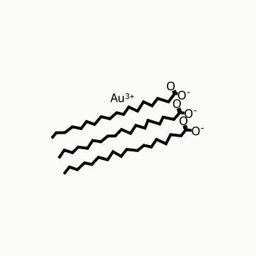 CCCCCCCCCCCCCCCCCC(=O)[O-].CCCCCCCCCCCCCCCCCC(=O)[O-].CCCCCCCCCCCCCCCCCC(=O)[O-].[Au+3]